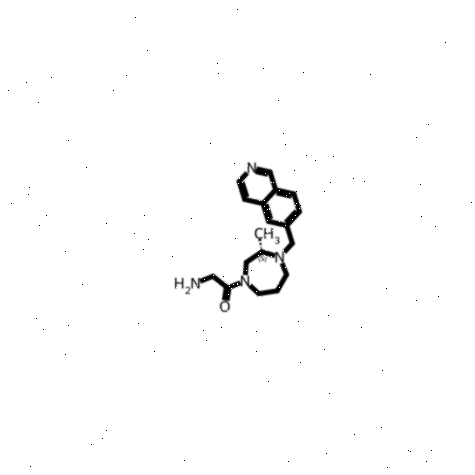 C[C@H]1CN(C(=O)CN)CCCN1Cc1ccc2cnccc2c1